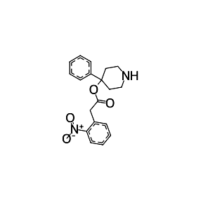 O=C(Cc1ccccc1[N+](=O)[O-])OC1(c2ccccc2)CCNCC1